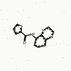 O=C(Nc1cccc2nccnc12)c1cccs1